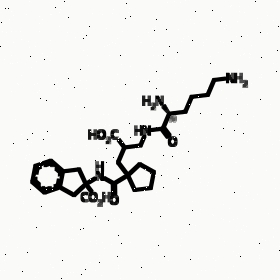 NCCCC[C@H](N)C(=O)NCC(CC1(C(=O)NC2(C(=O)O)Cc3ccccc3C2)CCCC1)C(=O)O